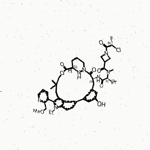 CCn1c(-c2cccnc2COC)c2c3cc(ccc31)-c1cc(O)cc(c1)C[C@H](NC(=O)[C@H](C(C)C)N(C)C(=O)C1CN(C(=O)[C@H](F)Cl)C1)C(=O)N1CCC[C@H](N1)C(=O)OCC(C)(C)C2